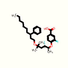 CCCCCCCC(CCOC(C)(C)C[C@H](F)[C@H](C)Oc1ccc(C(=O)O)cc1F)c1ccccc1